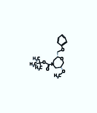 CO[C@H]1CO[C@@H](COc2ccccc2)CN(C(=O)OC(C)(C)C)C1